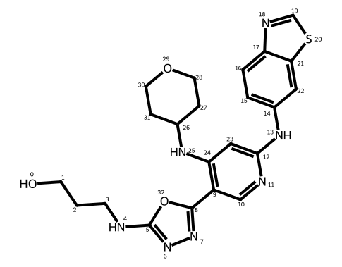 OCCCNc1nnc(-c2cnc(Nc3ccc4ncsc4c3)cc2NC2CCOCC2)o1